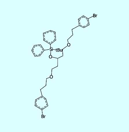 CC(C)(C)[Si](OC(CCOCCCc1ccc(Br)cc1)CCOCCCc1ccc(Br)cc1)(c1ccccc1)c1ccccc1